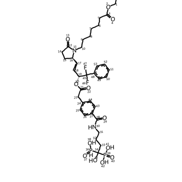 CCOC(=O)CCCCCCN1C(=O)CC[C@@H]1/C=C/[C@@H](OC(=O)Cc1ccc(C(=O)NCCCC(O)([PH](=O)O)P(=O)(O)O)cc1)C(F)(F)c1ccccc1